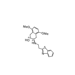 COc1ccc(OC)c2c1C[C@@H](O)[C@H](NCCc1nc3ccccc3s1)C2